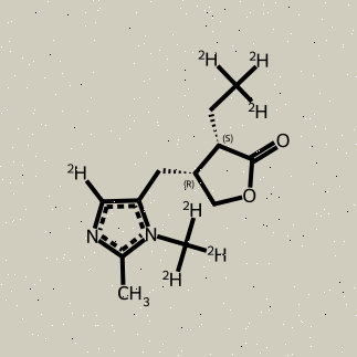 [2H]c1nc(C)n(C([2H])([2H])[2H])c1C[C@H]1COC(=O)[C@H]1CC([2H])([2H])[2H]